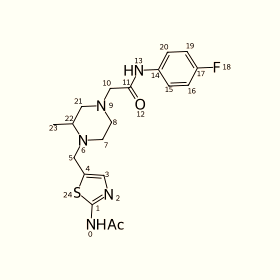 CC(=O)Nc1ncc(CN2CCN(CC(=O)Nc3ccc(F)cc3)CC2C)s1